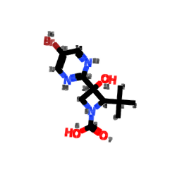 CC(C)(C)C1N(C(=O)O)CC1(O)c1ncc(Br)cn1